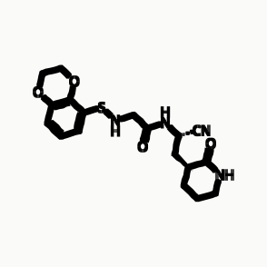 N#C[C@H](C[C@@H]1CCCNC1=O)NC(=O)CNSc1cccc2c1OCCO2